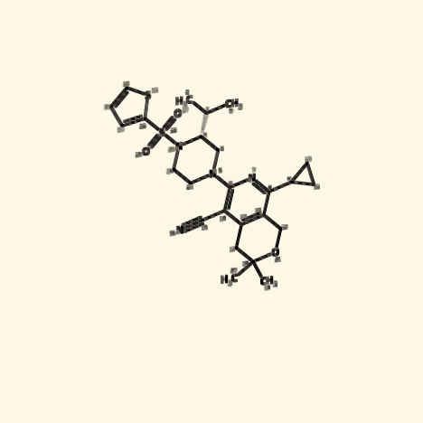 CC(C)[C@@H]1CN(c2nc(C3CC3)c3c(c2C#N)CC(C)(C)OC3)CCN1S(=O)(=O)c1cccs1